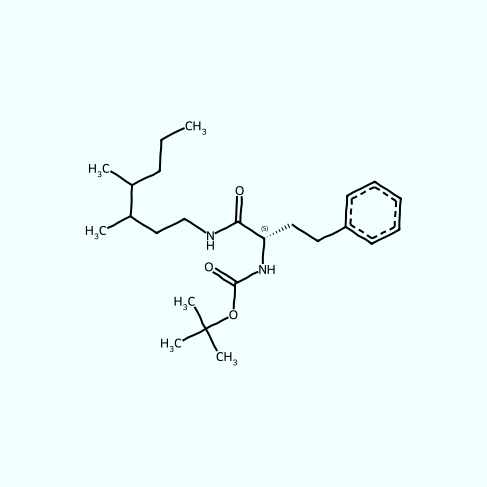 CCCC(C)C(C)CCNC(=O)[C@H](CCc1ccccc1)NC(=O)OC(C)(C)C